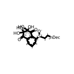 CCCCCCCCCCCC[S+]([O-])c1cccc2c1C(=O)C(O)(O)C(O)(O)C2=O